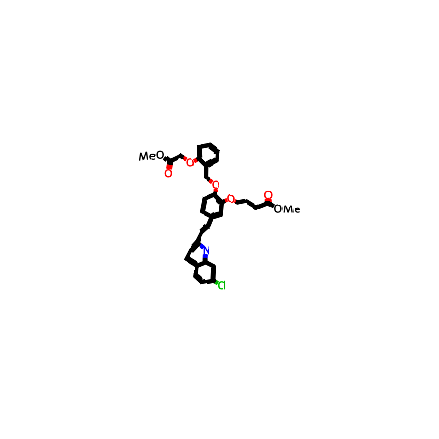 COC(=O)CCCOc1cc(C=Cc2ccc3ccc(Cl)cc3n2)ccc1OCc1ccccc1OCC(=O)OC